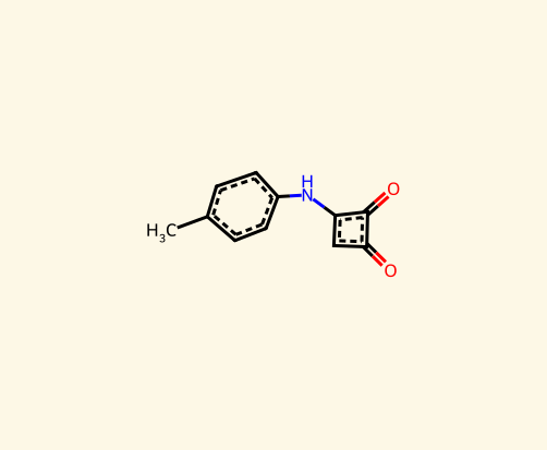 Cc1ccc(Nc2cc(=O)c2=O)cc1